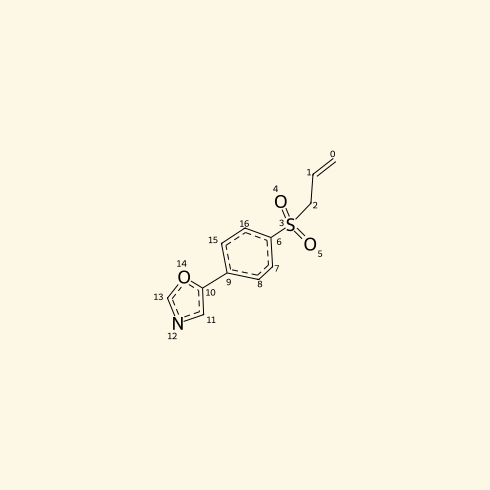 C=CCS(=O)(=O)c1ccc(-c2cnco2)cc1